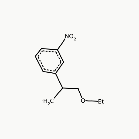 [CH2]C(COCC)c1cccc([N+](=O)[O-])c1